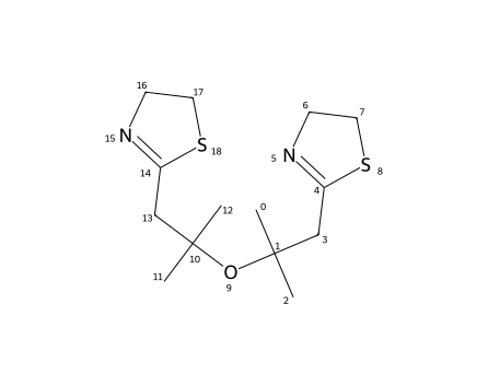 CC(C)(CC1=NCCS1)OC(C)(C)CC1=NCCS1